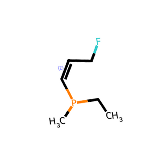 CCP(C)/C=C\CF